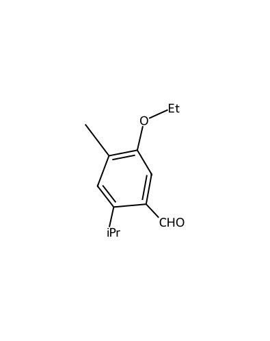 CCOc1cc(C=O)c(C(C)C)cc1C